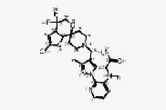 Cc1nn(-c2ncccc2N(C)CC(N)=O)cc1CN1CCC2(CC1)OCC(F)(F)C1C=C(Cl)SC12